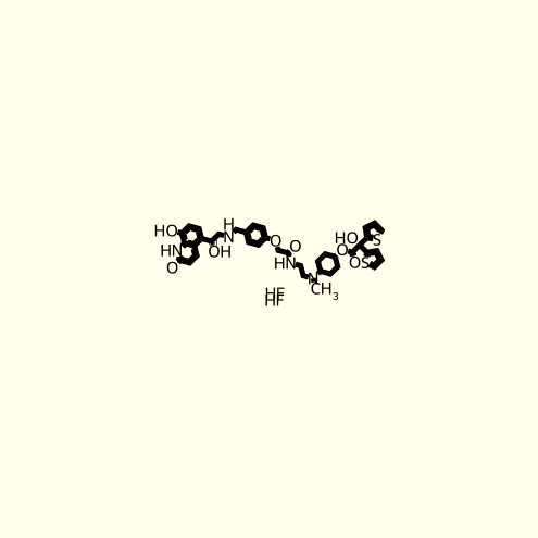 CN(CCNC(=O)COc1ccc(CNC[C@@H](O)c2ccc(O)c3[nH]c(=O)ccc23)cc1)C1CCC(OC(=O)C(O)(c2cccs2)c2cccs2)CC1.F.F